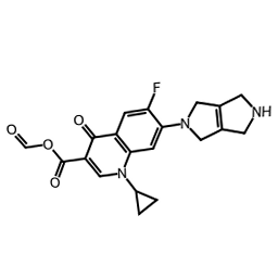 O=COC(=O)c1cn(C2CC2)c2cc(N3CC4=C(CNC4)C3)c(F)cc2c1=O